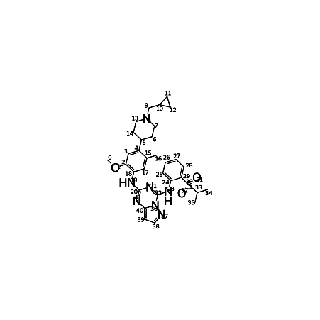 COc1cc(C2CCN(CC3CC3)CC2)c(C)cc1Nc1nc(Nc2ccccc2S(=O)(=O)C(C)C)n2nccc2n1